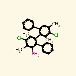 Cc1cc(-c2ccccc2)c(-c2c(C)c(Cl)c(C)c(P)c2-c2ccccc2)c(C)c1Cl